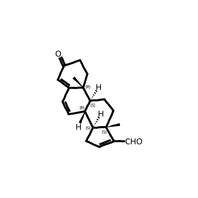 C[C@]12CCC(=O)C=C1C=C[C@@H]1[C@@H]2CC[C@]2(C)C(C=O)=CC[C@@H]12